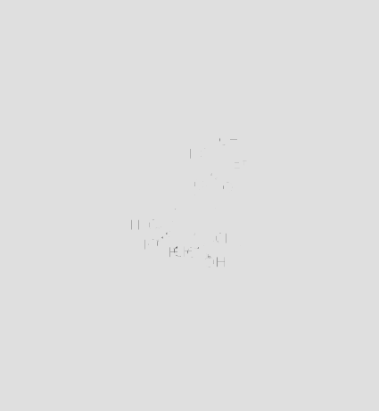 CCC(C)(C)C(=O)OC1CC(C(C)(C)O)C(C(C)(C)O)C1